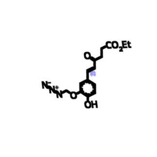 CCOC(=O)CCC(=O)/C=C/c1ccc(O)c(OCN=[N+]=[N-])c1